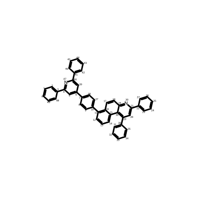 c1ccc(-c2cc(-c3ccc(-c4cccc5c4ccc4nc(-c6ccccc6)cc(-c6ccccc6)c45)cc3)cc(-c3ccccc3)n2)cc1